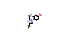 Cc1nc(C(C)(F)F)cn1-c1ccc(Br)cc1C#N